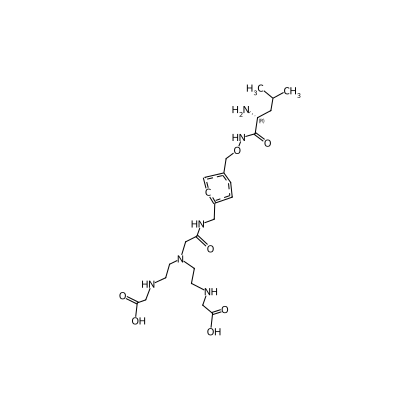 CC(C)C[C@@H](N)C(=O)NOCc1ccc(CNC(=O)CN(CCNCC(=O)O)CCNCC(=O)O)cc1